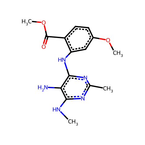 CNc1nc(C)nc(Nc2cc(OC)ccc2C(=O)OC)c1N